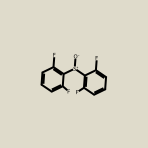 [O-][S+](c1c(F)cccc1F)c1c(F)cccc1F